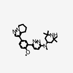 COc1ccc(-c2cnn3c2CCCC3)cc1-c1ccc(N(C)C2CC(C)(C)NC(C)(C)C2)nn1